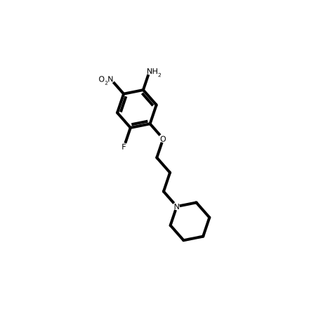 Nc1cc(OCCCN2CCCCC2)c(F)cc1[N+](=O)[O-]